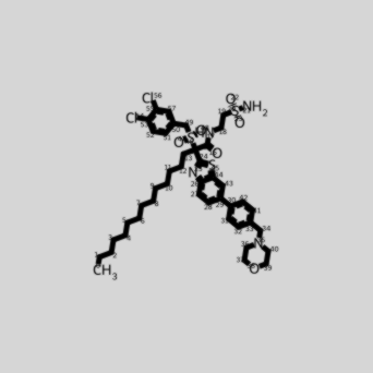 CCCCCCCCCCCCCCC(C(=O)NCCS(N)(=O)=O)(c1nc2ccc(-c3ccc(CN4CCOCC4)cc3)cc2s1)S(=O)(=O)Cc1ccc(Cl)c(Cl)c1